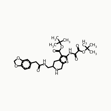 CC(C)(C)OC(=O)C(=O)Nc1sc2c(c1C(=O)OC(C)(C)C)CC(CNC(=O)Cc1ccc3c(c1)OCO3)NC2